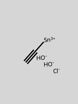 C#[C][Sn+3].[Cl-].[OH-].[OH-]